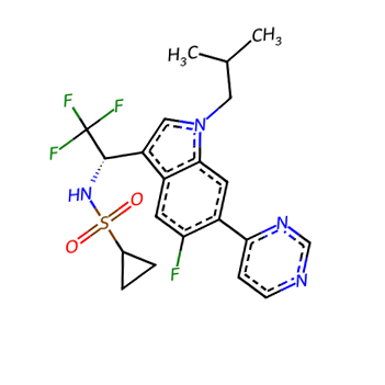 CC(C)Cn1cc([C@H](NS(=O)(=O)C2CC2)C(F)(F)F)c2cc(F)c(-c3ccncn3)cc21